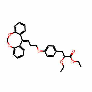 CCOC(=O)C(Cc1ccc(OCCC=C2c3ccccc3OCOc3ccccc32)cc1)OCC